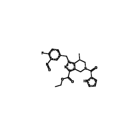 CCOC(=O)c1nn(Cc2ccc(F)c(N=O)c2)c2c1CN(C(=O)c1ccc[nH]1)CC2C